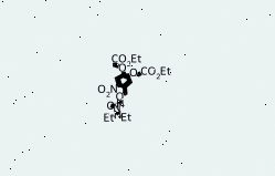 CCOC(=O)COc1cc(CON=[N+]([O-])N(CC)CC)c([N+](=O)[O-])cc1OCC(=O)OCC